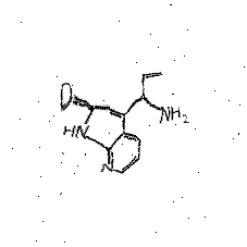 C=CC(N)c1cc(=O)[nH]c2ncccc12